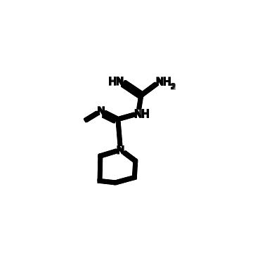 C/N=C(/NC(=N)N)N1CCCCC1